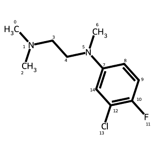 CN(C)CCN(C)c1ccc(F)c(Cl)c1